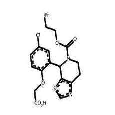 CC(C)CCOC(=O)N1CCc2ncsc2C1c1cc(Cl)ccc1OCC(=O)O